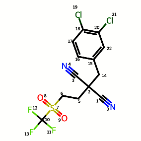 N#CC(C#N)(CCS(=O)(=O)C(F)(F)F)Cc1ccc(Cl)c(Cl)c1